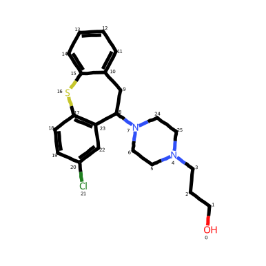 OCCCN1CCN(C2Cc3ccccc3Sc3ccc(Cl)cc32)CC1